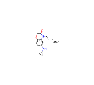 COCCCN1C(=O)COc2ccc(NC3CC3)cc21